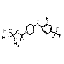 CC(C)(C)OC(=O)N1CCC(Nc2ccc(C(F)(F)F)cc2Br)CC1